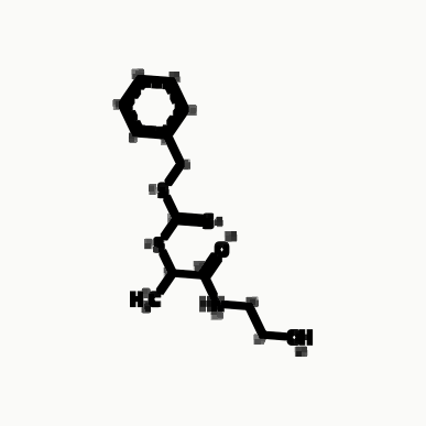 CC(SC(=S)SCc1ccccc1)C(=O)NCCO